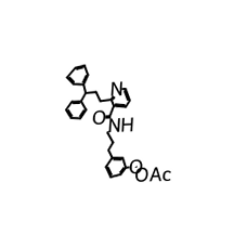 CC(=O)OOc1cccc(CCCNC(=O)c2cccnc2CCC(c2ccccc2)c2ccccc2)c1